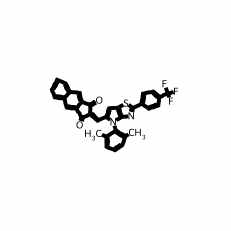 Cc1cccc(C)c1-n1c(C=C2C(=O)c3cc4ccccc4cc3C2=O)cc2sc(-c3ccc(C(F)(F)F)cc3)nc21